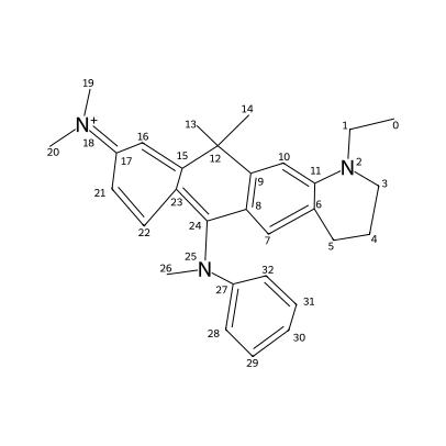 CCN1CCCc2cc3c(cc21)C(C)(C)C1=CC(=[N+](C)C)C=CC1=C3N(C)c1ccccc1